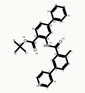 Cc1ccc(-c2ccncc2)cc1C(=O)Nc1cc(-c2ccccc2)ccc1C(=O)OC(C)(C)C